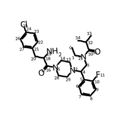 CCN(CC(c1ccccc1F)N1CCN(C(=O)C(N)Cc2ccc(Cl)cc2)CC1)C(=O)C(C)C